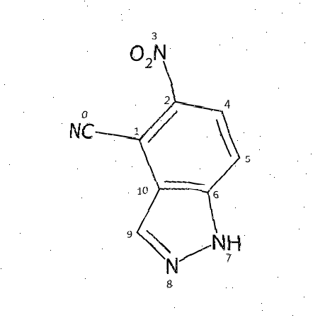 N#Cc1c([N+](=O)[O-])ccc2[nH]ncc12